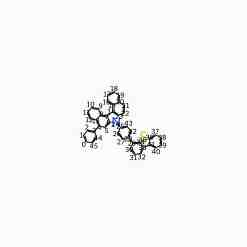 c1ccc(-c2cc3c(c4ccccc24)c2c4ccccc4ccc2n3-c2ccc(-c3cccc4c3sc3ccccc34)cc2)cc1